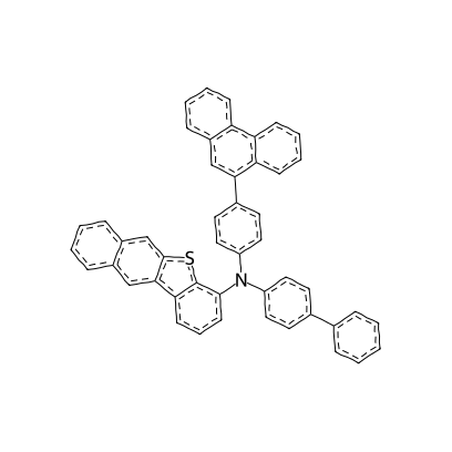 c1ccc(-c2ccc(N(c3ccc(-c4cc5ccccc5c5ccccc45)cc3)c3cccc4c3sc3cc5ccccc5cc34)cc2)cc1